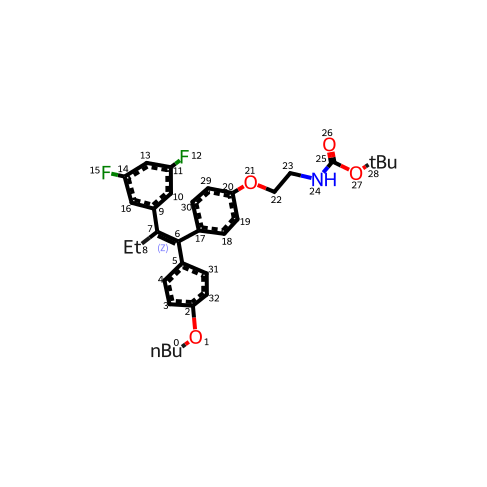 CCCCOc1ccc(/C(=C(\CC)c2cc(F)cc(F)c2)c2ccc(OCCNC(=O)OC(C)(C)C)cc2)cc1